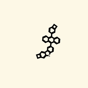 c1ccc2c(-c3ccc4sc5cc6c(cc5c4c3)CC6)c3ccccc3c(-c3ccc4c(c3)CC4)c2c1